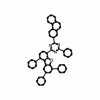 c1ccc(-c2cc(-c3ccccc3)c3oc4c(-c5nc(-c6ccccc6)nc(-c6ccc7c(ccc8ccccc87)c6)n5)ccc(-c5ccccc5)c4c3c2)cc1